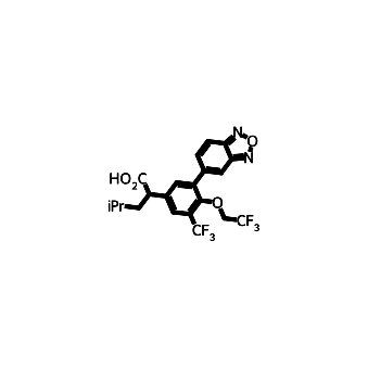 CC(C)CC(C(=O)O)c1cc(-c2ccc3nonc3c2)c(OCC(F)(F)F)c(C(F)(F)F)c1